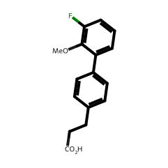 COc1c(F)cccc1-c1ccc(CCC(=O)O)cc1